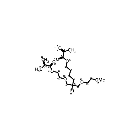 C=C(C)C(=O)OCCCCC(CC)(COCCOC)COCCOC(=O)C(=C)C